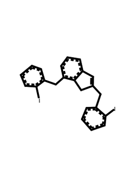 Ic1ccccc1CC1=Cc2cccc(Cc3ccccc3I)c2C1